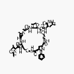 CC(=O)N[C@H](C(=O)N[C@H]1CCCNC(=O)C2(C)CC(=NN2c2ccccc2)C(=O)NCCC[C@@H](C(=O)N[C@@H](CC(C)C)C(N)=O)NC(=O)[C@H](C(C)C)NC(=O)C(C)(C)N2C(=O)[C@H](CC2C)NC1=O)C(C)C